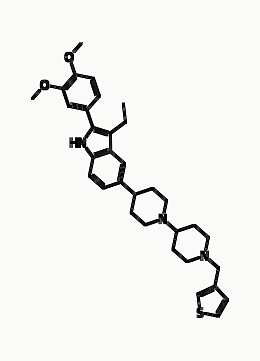 CCc1c(-c2ccc(OC)c(OC)c2)[nH]c2ccc(C3CCN(C4CCN(Cc5ccsc5)CC4)CC3)cc12